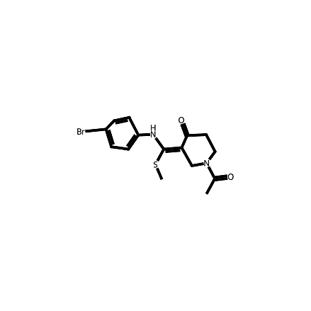 CSC(Nc1ccc(Br)cc1)=C1CN(C(C)=O)CCC1=O